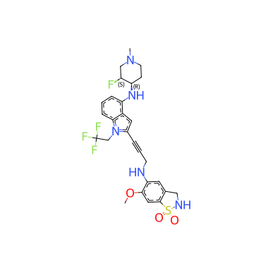 COc1cc2c(cc1NCC#Cc1cc3c(N[C@@H]4CCN(C)C[C@@H]4F)cccc3n1CC(F)(F)F)CNS2(=O)=O